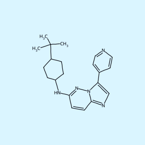 CC(C)(C)C1CCC(Nc2ccc3ncc(-c4ccncc4)n3n2)CC1